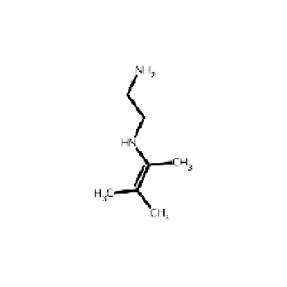 CC(C)=C(C)NCCN